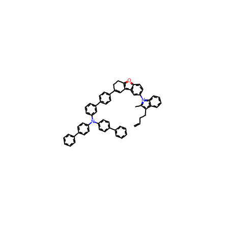 C=CCCc1c(C)n(-c2ccc3oc4c(c3c2)C=C(c2ccc(-c3cccc(N(c5ccc(-c6ccccc6)cc5)c5ccc(-c6ccccc6)cc5)c3)cc2)CC4)c2ccccc12